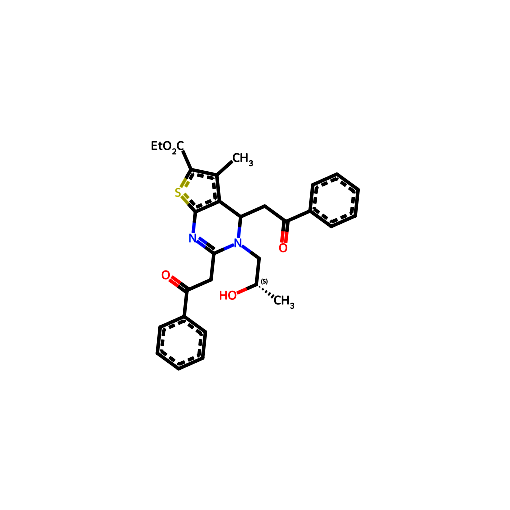 CCOC(=O)c1sc2c(c1C)C(CC(=O)c1ccccc1)N(C[C@H](C)O)C(CC(=O)c1ccccc1)=N2